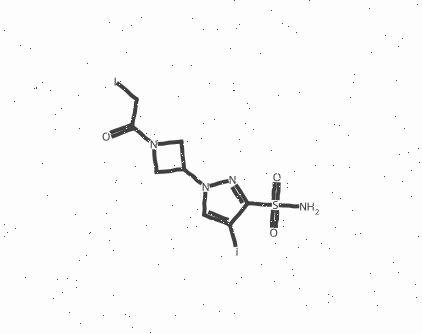 NS(=O)(=O)c1nn(C2CN(C(=O)CI)C2)cc1I